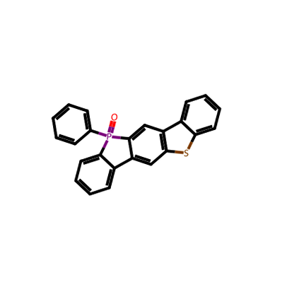 O=P1(c2ccccc2)c2ccccc2-c2cc3sc4ccccc4c3cc21